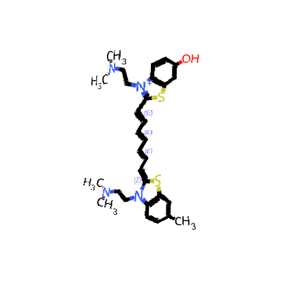 Cc1ccc2c(c1)S\C(=C/C=C/C=C/C=C/c1sc3cc(O)ccc3[n+]1CCN(C)C)N2CCN(C)C